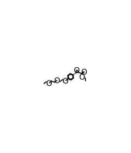 CCOCCOCCOc1ccc([C@H]2OC2C(=O)OCC)cc1